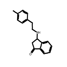 Cc1ccc(CCNC2CC(=O)c3ccccc32)cc1